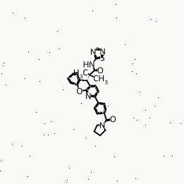 CC(C)(C(=O)Nc1ncns1)[C@H]1c2ccccc2Oc2nc(-c3ccc(C(=O)N4CCCC4)cc3)ccc21